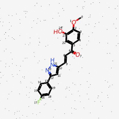 COc1ccc(C(=O)C=Cc2cc(-c3ccc(F)cc3)n[nH]2)cc1O